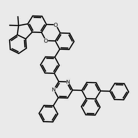 CC1(C)c2ccccc2-c2c1ccc1c2Oc2c(cccc2-c2cccc(-c3nc(-c4ccccc4)cc(-c4ccc(-c5ccccc5)c5ccccc45)n3)c2)O1